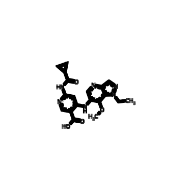 CCn1ncc2ncc(Nc3cc(NC(=O)C4CC4)ncc3C(=O)O)c(OC)c21